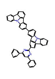 c1ccc(-c2cc(-c3ccccc3)nc(-c3cc4c5ccccc5n5c6ccc(-c7ccc8c(c7)c7cccc9c%10ccccc%10n8c97)cc6c(c3)c45)n2)cc1